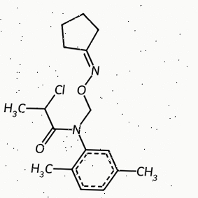 Cc1ccc(C)c(N(CON=C2CCCC2)C(=O)C(C)Cl)c1